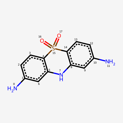 Nc1ccc2c(c1)Nc1cc(N)ccc1S2(=O)=O